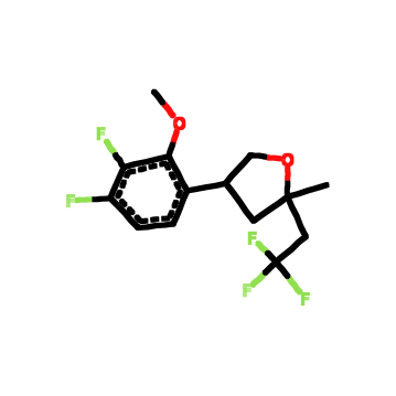 COc1c(C2COC(C)(CC(F)(F)F)C2)ccc(F)c1F